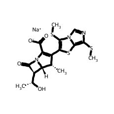 CSc1ncn2c(SC)c(C3=C(C(=O)[O-])N4C(=O)[C@H]([C@@H](C)O)[C@H]4[C@H]3C)sc12.[Na+]